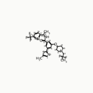 Cc1cnc(-c2cc(OC3CCN(CC(C)(F)F)CC3)cc(C(=O)N[C@H](C)c3ccc(C(F)(F)F)nn3)c2)s1